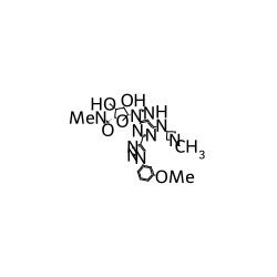 CNC(=O)[C@H]1O[C@@H](n2cnc3c(NC4CN(C)C4)nc(-c4cn(-c5cccc(OC)c5)nn4)nc32)[C@H](O)[C@@H]1O